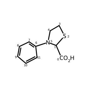 O=C(O)C1SCCN1c1ccccc1